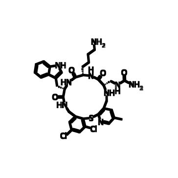 Cc1cnc2c(c1)CN[C@@H](CNC(N)=O)C(=O)N[C@@H](CCCCN)C(=O)N[C@@H](Cc1c[nH]c3ccccc13)C(=O)NCc1cc(Cl)cc(Cl)c1S2